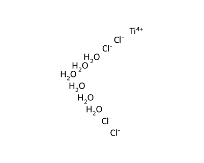 O.O.O.O.O.O.[Cl-].[Cl-].[Cl-].[Cl-].[Ti+4]